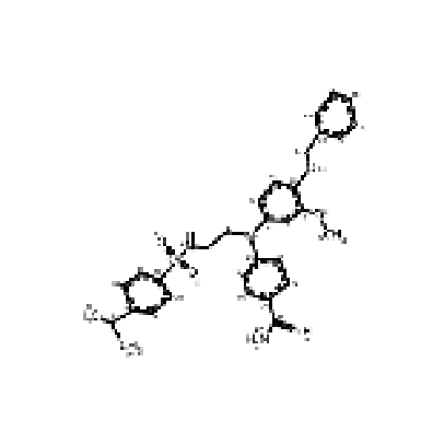 COc1cc(N(CCNS(=O)(=O)c2ccc(C(C)C)cc2)c2ccc(C(=N)N)cc2)ccc1OCc1ccccc1